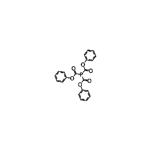 O=C(Oc1ccccc1)P(C(=O)Oc1ccccc1)C(=O)Oc1ccccc1